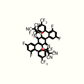 N#CC(C#N)=c1nc2c(-c3cc(F)cc(F)c3-c3cc(C(F)(F)F)cc(C(F)(F)F)c3)c3oc(=C(C#N)C#N)nc3c(-c3cc(F)cc(F)c3-c3cc(C(F)(F)F)cc(C(F)(F)F)c3)c2o1